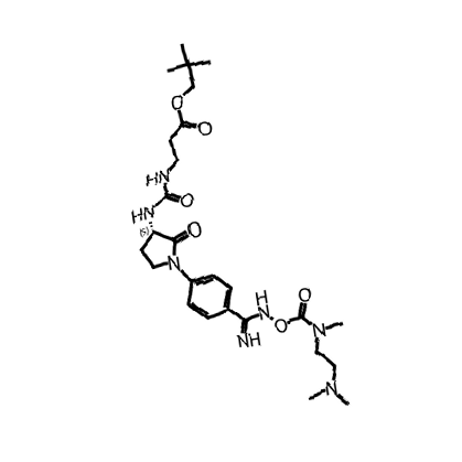 CN(C)CCN(C)C(=O)ONC(=N)c1ccc(N2CC[C@H](NC(=O)NCCC(=O)OCC(C)(C)C)C2=O)cc1